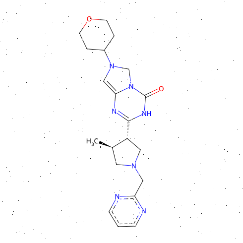 C[C@@H]1CN(Cc2ncccn2)C[C@H]1C1=NC2=CN(C3CCOCC3)CN2C(=O)N1